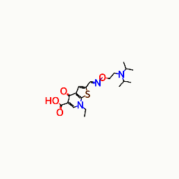 CCn1cc(C(=O)O)c(=O)c2cc(C=NOCCN(C(C)C)C(C)C)sc21